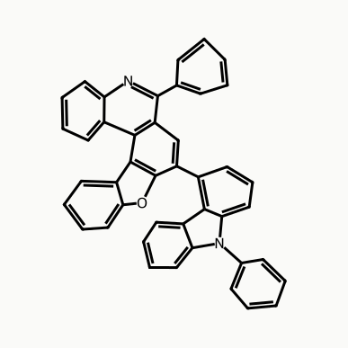 c1ccc(-c2nc3ccccc3c3c2cc(-c2cccc4c2c2ccccc2n4-c2ccccc2)c2oc4ccccc4c23)cc1